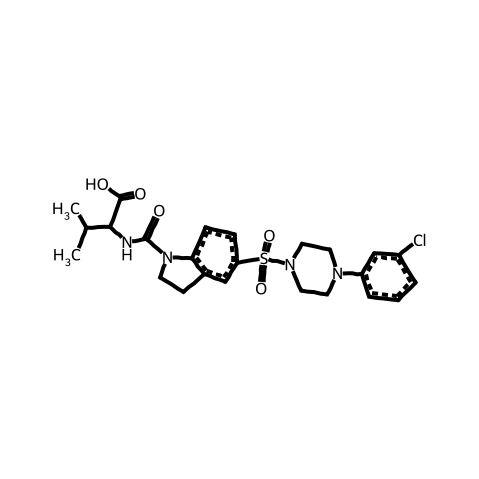 CC(C)C(NC(=O)N1CCc2cc(S(=O)(=O)N3CCN(c4cccc(Cl)c4)CC3)ccc21)C(=O)O